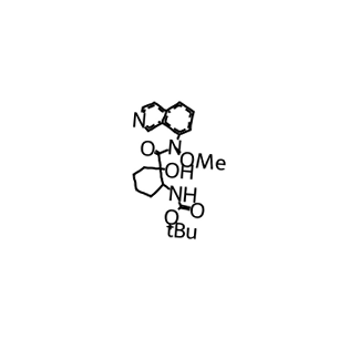 CON(C(=O)C1(O)CCCCC1NC(=O)OC(C)(C)C)c1cccc2ccncc12